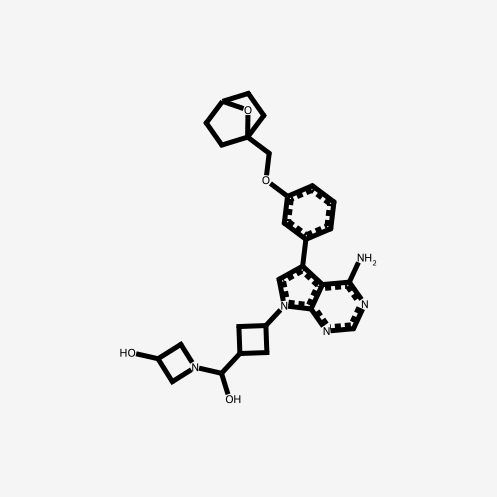 Nc1ncnc2c1c(-c1cccc(OCC34CCC(CC3)O4)c1)cn2C1CC(C(O)N2CC(O)C2)C1